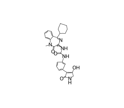 CN1C(=O)[C@H](NC(=O)Nc2cccc(C3=C(O)CNC3=O)c2)N=C(C2CCCCC2)c2ccccc21